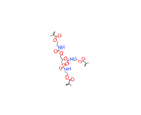 C=C(C)C(=O)OCCNC(=O)OCC(COC(=O)NCCOC(=O)C(=C)C)OC(=O)NCCOC(=O)C(=C)C